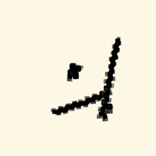 CCCCCCCCCCCCCCOCC(COC(=O)C[N+](C)(C)C)OCCCCCCCCCCCCCC.COS(=O)(=O)[O-]